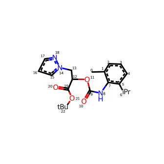 Cc1cccc(C(C)C)c1NC(=O)OC(Cn1cccn1)C(=O)OC(C)(C)C